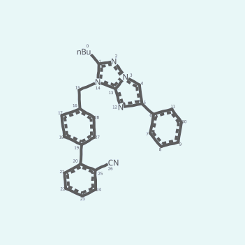 CCCCc1nn2cc(-c3ccccc3)nc2n1Cc1ccc(-c2ccccc2C#N)cc1